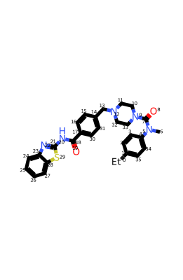 CCc1ccc(N(C)C(=O)N2CCN(Cc3ccc(C(=O)Nc4nc5ccccc5s4)cc3)CC2)cc1